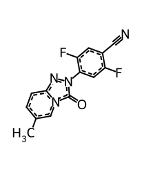 Cc1ccc2nn(-c3cc(F)c(C#N)cc3F)c(=O)n2c1